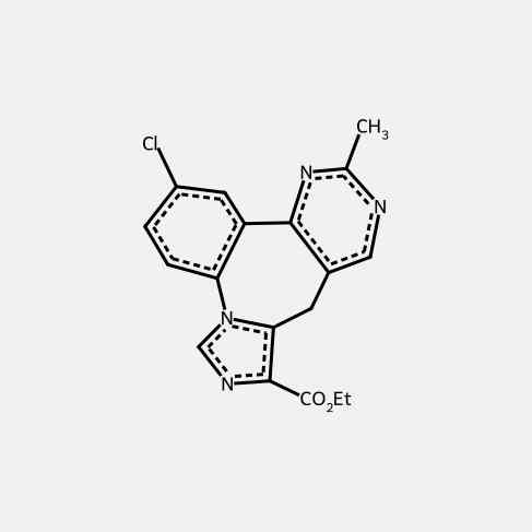 CCOC(=O)c1ncn2c1Cc1cnc(C)nc1-c1cc(Cl)ccc1-2